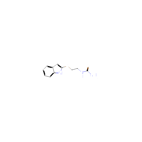 NC(=S)NCCSc1cc2ccccc2[nH]1